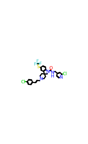 O=C(NCc1ccnc(Cl)c1)N1CC2(CCN(C/C=C/c3ccc(Cl)cc3)CC2)c2cc(SC(F)(F)F)ccc21